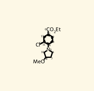 CCOC(=O)c1ccc(N2CCC(OC)C2)c(Cl)c1